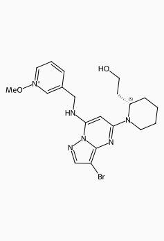 CO[n+]1cccc(CNc2cc(N3CCCC[C@H]3CCO)nc3c(Br)cnn23)c1